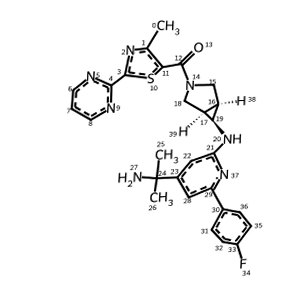 Cc1nc(-c2ncccn2)sc1C(=O)N1C[C@@H]2[C@H](C1)[C@@H]2Nc1cc(C(C)(C)N)cc(-c2ccc(F)cc2)n1